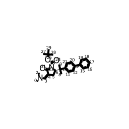 CN(C)/C=C1/C[C@@H](C(C)(C)c2ccc(-c3ccccc3)cc2)N(C(=O)OC(C)(C)C)C1=O